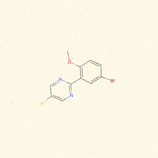 COc1ccc(Br)cc1-c1ncc(F)cn1